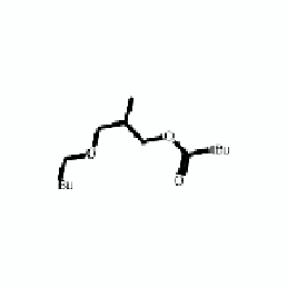 CCC(C)COCC(C)COC(=O)C(C)(C)C